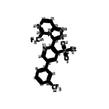 CCS(=O)(=O)c1cc(-c2cccc(C(F)(F)F)c2)cnc1-c1nnc2ccnc(C(F)(F)F)n12